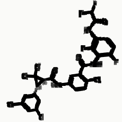 O=C(Nc1c(F)ccc(NC(=O)C(F)F)c1F)c1cc(NC(=O)[C@H]2[C@H](c3cc(Cl)cc(Cl)c3)C2(Cl)Cl)ccc1Cl